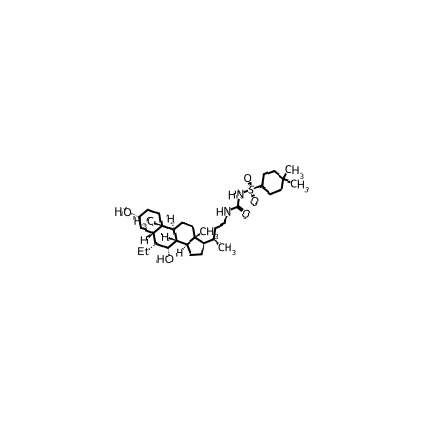 CC[C@H]1[C@@H](O)[C@@H]2[C@H](CC[C@]3(C)[C@@H]([C@H](C)CCNC(=O)NS(=O)(=O)C4CCC(C)(C)CC4)CC[C@@H]23)[C@@]2(C)CC[C@@H](O)C[C@@H]12